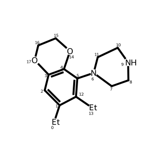 CCc1cc2c(c(N3CCNCC3)c1CC)OCCO2